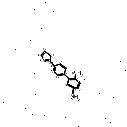 Cc1ccc(N)cc1-c1ccc(C2=NC=CC2)cc1